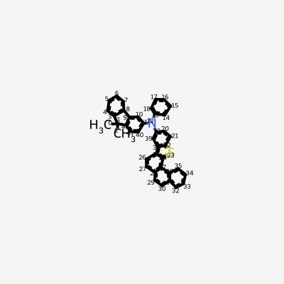 CC1(C)c2ccccc2-c2cc(N(c3ccccc3)c3ccc4sc5c(ccc6ccc7ccccc7c65)c4c3)ccc21